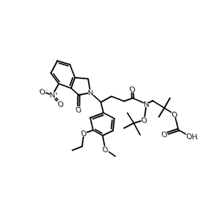 CCOc1cc(C(CCC(=O)N(CC(C)(C)OC(=O)O)OC(C)(C)C)N2Cc3cccc([N+](=O)[O-])c3C2=O)ccc1OC